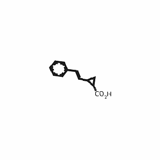 O=C(O)C1CC1C=Cc1ccccc1